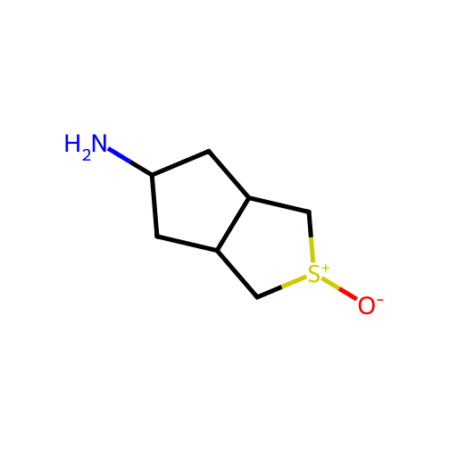 NC1CC2C[S+]([O-])CC2C1